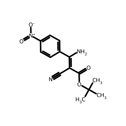 CC(C)(C)OC(=O)/C(C#N)=C(\N)c1ccc([N+](=O)[O-])cc1